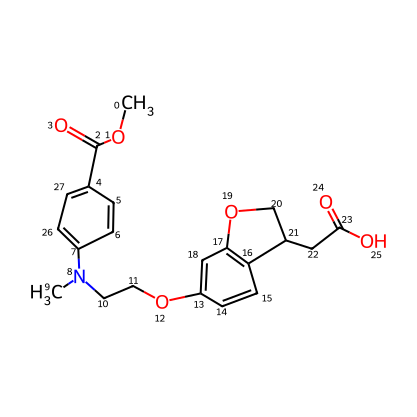 COC(=O)c1ccc(N(C)CCOc2ccc3c(c2)OCC3CC(=O)O)cc1